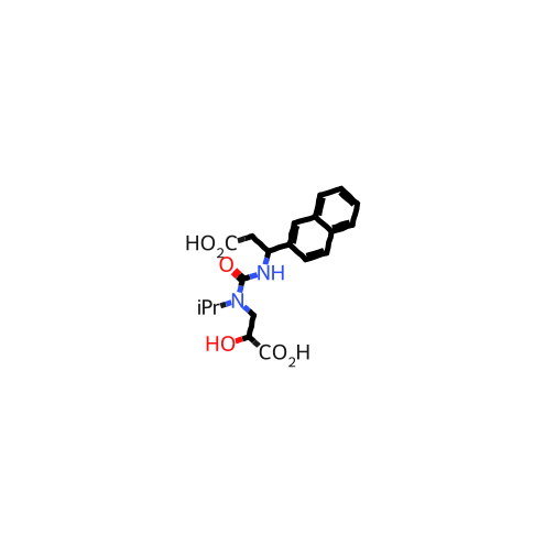 CC(C)N(CC(O)C(=O)O)C(=O)NC(CC(=O)O)c1ccc2ccccc2c1